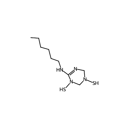 CCCCCCNC1=NCN(S)CN1S